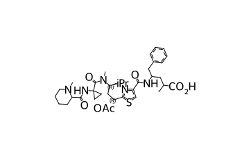 CC(=O)O[C@H](C[C@H](C(C)C)N(C)C(=O)C1(NC(=O)C2CCCCN2C)CC1)c1nc(C(=O)NC(Cc2ccccc2)CC(C)C(=O)O)cs1